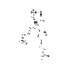 C=CCCC(CCCCCCCCCCCCCCC)[n+]1cc[nH]c1.[Br-]